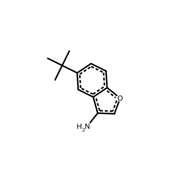 CC(C)(C)c1ccc2occ(N)c2c1